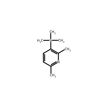 Cc1ccc([Si](C)(C)C)c(C)n1